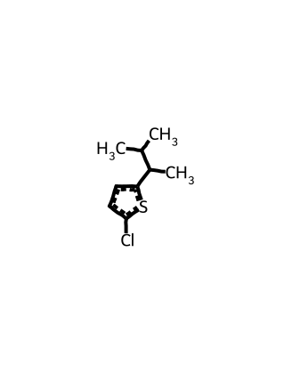 CC(C)C(C)c1ccc(Cl)s1